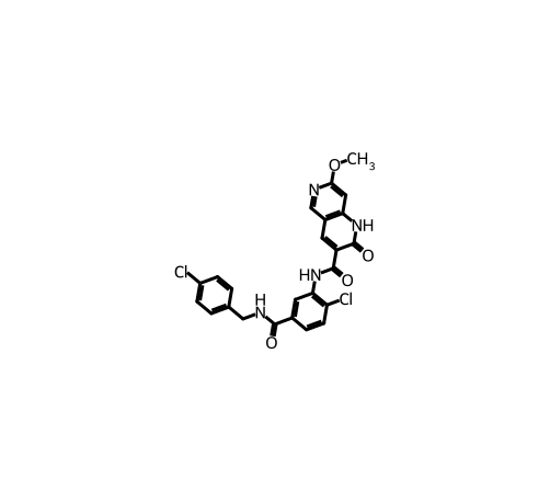 COc1cc2[nH]c(=O)c(C(=O)Nc3cc(C(=O)NCc4ccc(Cl)cc4)ccc3Cl)cc2cn1